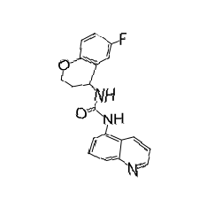 O=C(Nc1cccc2ncccc12)NC1CCOc2ccc(F)cc21